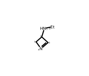 CCNC1C=NC1